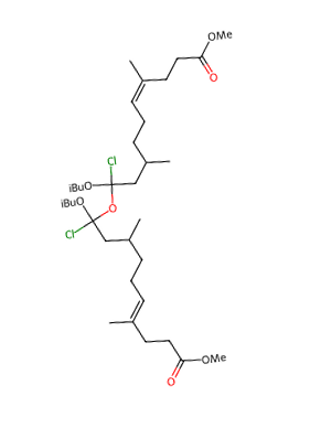 COC(=O)CCC(C)=CCCC(C)CC(Cl)(OCC(C)C)OC(Cl)(CC(C)CCC=C(C)CCC(=O)OC)OCC(C)C